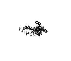 CCC(C)CNC(=O)CC(O)C(NC(=O)[C@H](Cc1cscn1)NC(=O)[C@H](Cc1cccc2ccccc12)NC(=O)OCc1ccccc1)C(C)CC